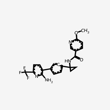 COc1ccc(C(=O)NC2(c3ccc(-c4ccc(C(F)(F)F)nc4N)cc3)CC2)cn1